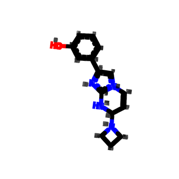 Oc1cccc(-c2cn3c(n2)NC(N2CCC2)C=C3)c1